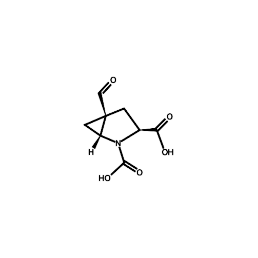 O=C[C@@]12C[C@@H](C(=O)O)N(C(=O)O)[C@@H]1C2